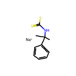 CC(C)(NC(=S)[S-])c1ccccc1.[Na+]